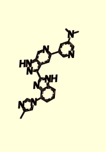 Cc1cn(-c2cccc3[nH]c(-c4n[nH]c5cnc(-c6cncc(N(C)C)c6)cc45)nc23)cn1